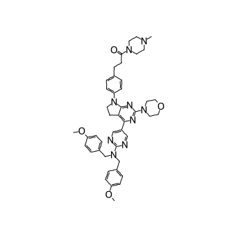 COc1ccc(CN(Cc2ccc(OC)cc2)c2ncc(-c3nc(N4CCOCC4)nc4c3CCN4c3ccc(CCC(=O)N4CCN(C)CC4)cc3)cn2)cc1